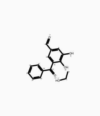 CCO.O=Cc1cc(O)c(O)c(C(=O)c2ccccc2)c1